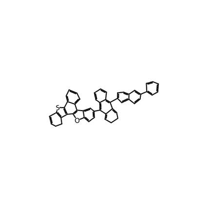 C1=Cc2sc3c4ccccc4c4c5cc(-c6c7c(c(-c8ccc9cc(-c%10ccccc%10)ccc9c8)c8ccccc68)=CCCC=7)ccc5oc4c3c2CC1